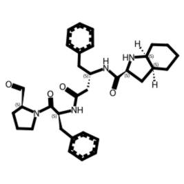 O=C[C@@H]1CCCN1C(=O)[C@H](Cc1ccccc1)NC(=O)C[C@H](Cc1ccccc1)NC(=O)[C@@H]1C[C@@H]2CCCC[C@@H]2N1